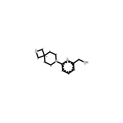 OCc1cccc(N2CCC3(CC2)COC3)n1